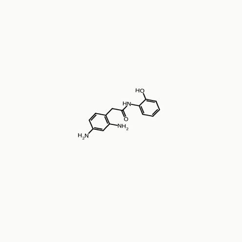 Nc1ccc(CC(=O)Nc2ccccc2O)c(N)c1